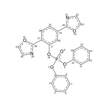 O=P(Oc1ccccc1)(Oc1ccccc1)Oc1cc(-c2ncco2)ccc1-c1ncco1